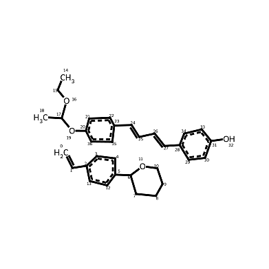 C=Cc1ccc(C2CCCCO2)cc1.CCOC(C)Oc1ccc(C=CC=Cc2ccc(O)cc2)cc1